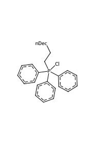 CCCCCCCCCCCCP(Cl)(c1ccccc1)(c1ccccc1)c1ccccc1